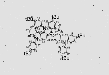 CC(C)(C)c1ccc(N(c2ccc(C(C)(C)C)cc2)c2ccc3c(c2)C(C)(C)c2cc(C(C)(C)C)cc4c2B3c2ccc3c(c2N4c2ccc(C(C)(C)C)cc2)c2ccccc2n3-c2ccc(C(C)(C)C)cc2)cc1